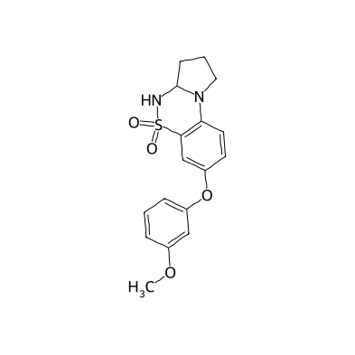 COc1cccc(Oc2ccc3c(c2)S(=O)(=O)NC2CCCN32)c1